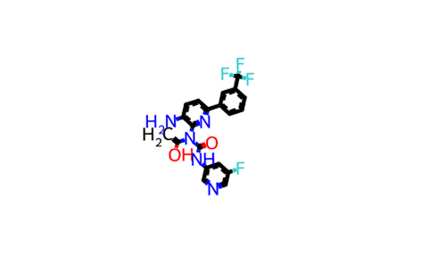 C=C(O)N(C(=O)Nc1cncc(F)c1)c1nc(-c2cccc(C(F)(F)F)c2)ccc1N